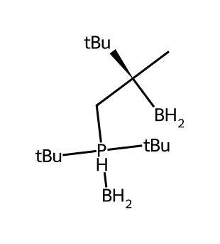 B[C@@](C)(C[PH](B)(C(C)(C)C)C(C)(C)C)C(C)(C)C